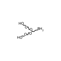 BCCCC(OCCOCCO)OCCOCCO